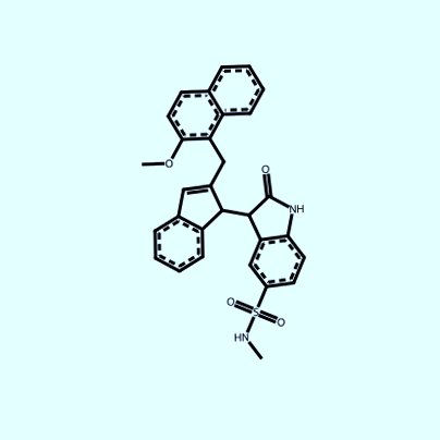 CNS(=O)(=O)c1ccc2c(c1)C(C1C(Cc3c(OC)ccc4ccccc34)=Cc3ccccc31)C(=O)N2